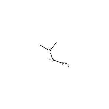 CP(C)BP